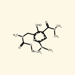 CN(C)C(=O)c1cc(N(C)C)nc(CN(C)C(=O)OC(C)(C)C)c1C=O